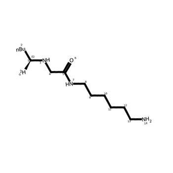 [2H][C@@H](CCCC)NCC(=O)NCCCCCCN